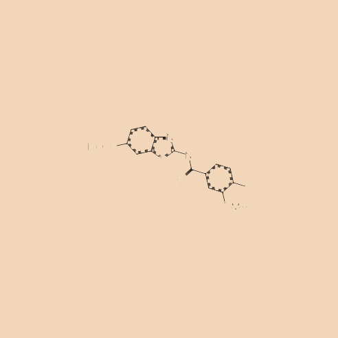 COc1cc(C(=O)Nc2nc3ccc(C(=O)O)cc3s2)ccc1F